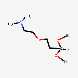 CCO[Si](CC)(CCOCCN(C)C)OCC